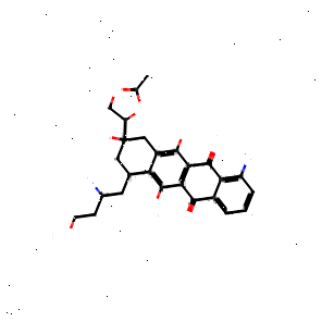 CC1OCC(C2(O)Cc3c(O)c4c(c(O)c3C(CC(N)CCO)C2)C(=O)c2cccc(N)c2C4=O)O1